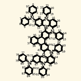 c1ccc(N(c2ccccc2)c2ccc3c(c2)N(c2ccccc2)c2cccc4c2B3c2cc3c5ccccc5c5cc6c(cc5c3cc2N4c2ccccc2)N(c2ccccc2)c2cccc3c2B6c2ccc(N(c4ccccc4)c4ccccc4)cc2N3c2ccccc2)cc1